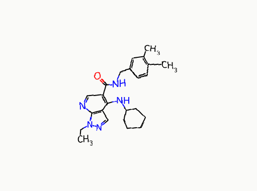 CCn1ncc2c(NC3CCCCC3)c(C(=O)NCc3ccc(C)c(C)c3)cnc21